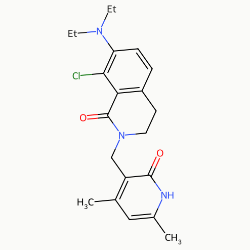 CCN(CC)c1ccc2c(c1Cl)C(=O)N(Cc1c(C)cc(C)[nH]c1=O)CC2